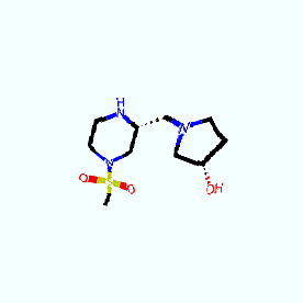 CS(=O)(=O)N1CCN[C@H](CN2CC[C@H](O)C2)C1